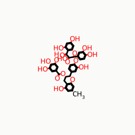 Cc1cc(O)c2c(c1)OC(c1cc(O)c3c(c1)OC1(O)C(=O)c4c(O)cc(O)cc4OC1(c1ccc(O)c(O)c1)O3)C(OC(=O)c1cc(O)c(O)c(O)c1)C2